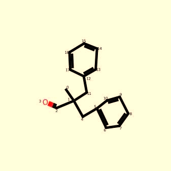 CC(C=O)(Cc1ccccc1)Cc1ccccc1